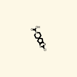 O=C(O)N1CCC2(CC1)Cc1nc(Cl)sc1C2